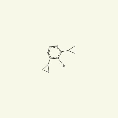 Brc1c(C2CC2)ncnc1C1CC1